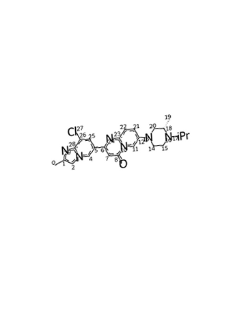 Cc1cn2cc(-c3cc(=O)n4cc(N5CCN(C(C)C)[C@@H](C)C5)ccc4n3)cc(Cl)c2n1